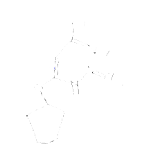 C=NN/C(=C\C(C)=N)OC1CCCC1